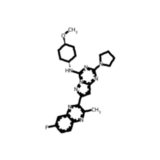 CO[C@H]1CC[C@H](Nc2nc(N3CCCC3)nc3cc(-c4nc5cc(F)ccc5nc4C)nn23)CC1